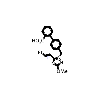 CC/C=C/c1nc(OC)nn1Cc1ccc(-c2ccccc2C(=O)O)cc1